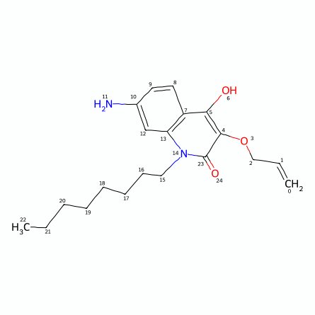 C=CCOc1c(O)c2ccc(N)cc2n(CCCCCCCC)c1=O